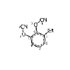 CCc1cccc(OC#N)c1OC#N